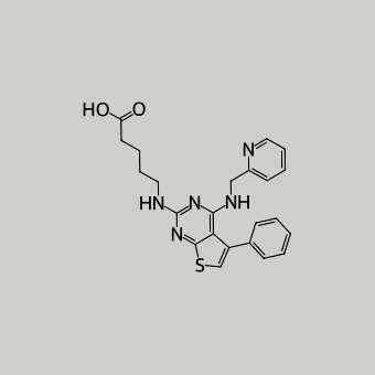 O=C(O)CCCCNc1nc(NCc2ccccn2)c2c(-c3ccccc3)csc2n1